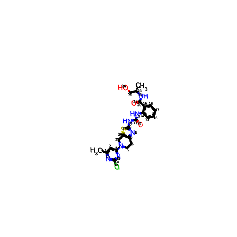 Cc1cc(N2CCc3nc(NC(=O)Nc4ccccc4C(=O)N[C@H](C)CO)sc3C2)nc(Cl)n1